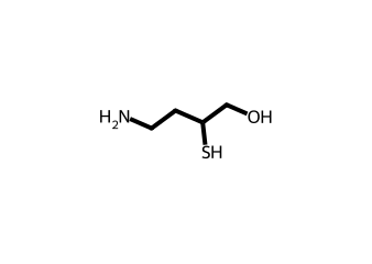 NCCC(S)CO